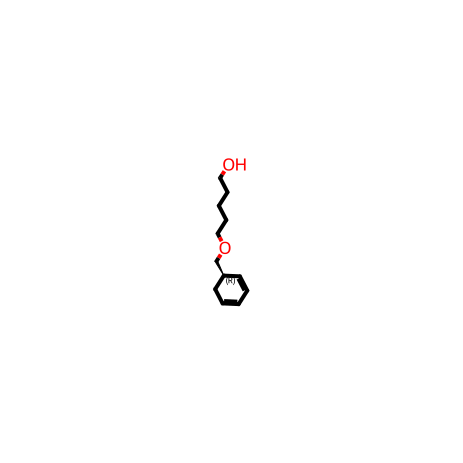 OCCCCCOC[C@H]1C=CC=CC1